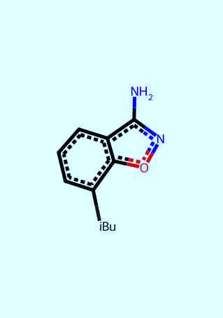 CCC(C)c1cccc2c(N)noc12